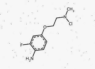 CN(Cl)CCOc1ccc(N)c(F)c1